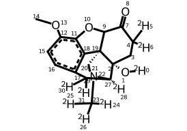 [2H]O[C@@]12CC([2H])([2H])C(=O)C3Oc4c(OC)ccc5c4[C@@]31CCN(C([2H])([2H])[2H])[C@]2([2H])C5([2H])[2H]